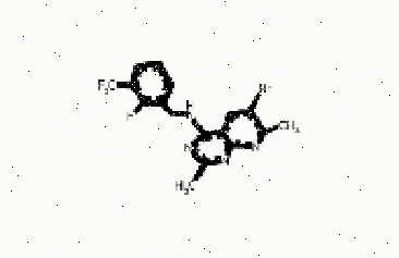 Cc1nc(NCc2cccc(C(F)(F)F)c2F)c2cc(Br)c(C)nc2n1